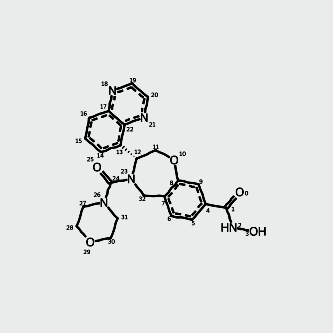 O=C(NO)c1ccc2c(c1)OC[C@@H](c1cccc3nccnc13)N(C(=O)N1CCOCC1)C2